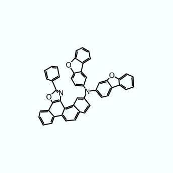 c1ccc(-c2nc3c(o2)c2ccccc2c2ccc4ccc(N(c5ccc6c(c5)oc5ccccc56)c5ccc6oc7ccccc7c6c5)cc4c23)cc1